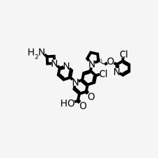 NC1CN(c2ccc(-n3cc(C(=O)O)c(=O)c4cc(Cl)c(N5CCC[C@@H]5COc5ncccc5Cl)cc43)cn2)C1